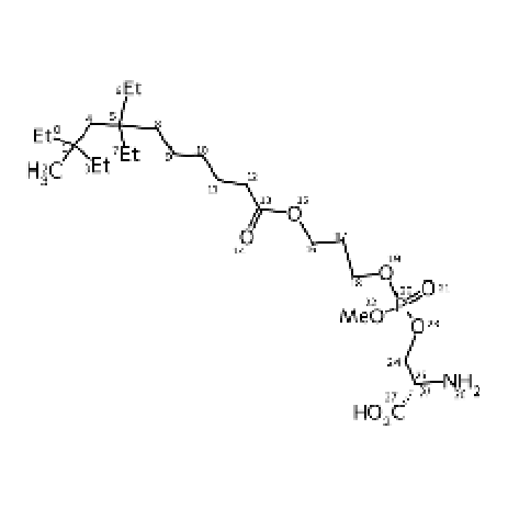 CCC(C)(CC)CC(CC)(CC)CCCCCC(=O)OCCCOP(=O)(OC)OC[C@H](N)C(=O)O